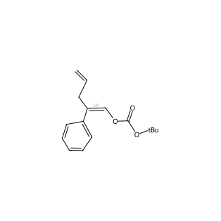 C=CC/C(=[C]/OC(=O)OC(C)(C)C)c1ccccc1